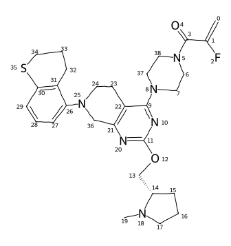 C=C(F)C(=O)N1CCN(c2nc(OC[C@@H]3CCCN3C)nc3c2CCN(c2cccc4c2CCCS4)C3)CC1